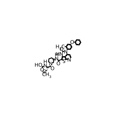 COC[C@H](NC(=O)O)C(=O)N1CCC[C@@H](NC(=O)c2sc3nccc4c3c2NC(=O)N4c2ccc(Oc3ccccc3)cc2C)C1